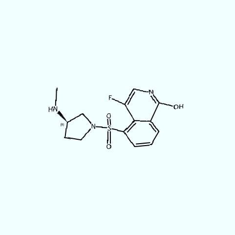 CN[C@@H]1CCN(S(=O)(=O)c2cccc3c(O)ncc(F)c23)C1